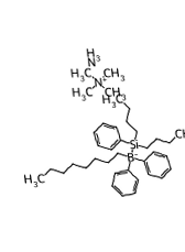 CCCCCCCC[B-](c1ccccc1)(c1ccccc1)[Si](CCCC)(CCCC)c1ccccc1.C[N+](C)(C)C.N